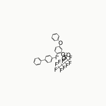 O=S(=O)([O-])C(F)(F)C(F)(F)C(F)(F)C(F)(F)F.c1ccc(Oc2ccc([I+]c3ccc(-c4ccccc4)cc3)cc2)cc1